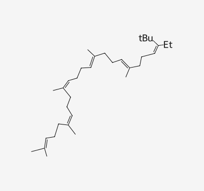 CCC(=CCCC(C)=CCCC(C)=CCCC=C(C)CCC=C(C)CCC=C(C)C)C(C)(C)C